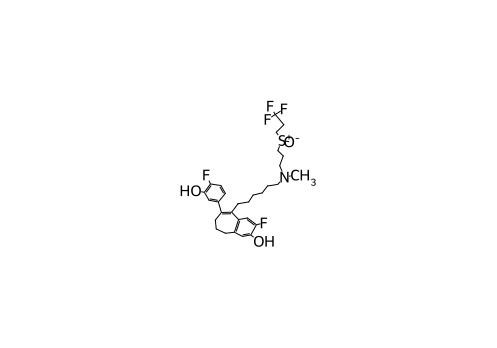 CN(CCCCCCC1=C(c2ccc(F)c(O)c2)CCCc2cc(O)c(F)cc21)CCC[S+]([O-])CCC(F)(F)F